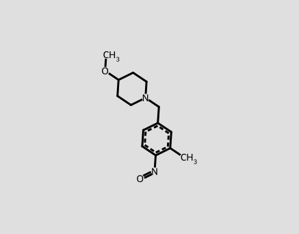 COC1CCN(Cc2ccc(N=O)c(C)c2)CC1